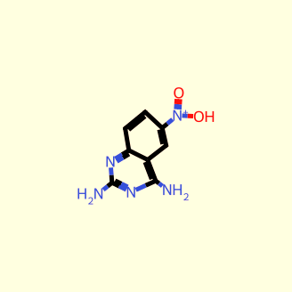 Nc1nc(N)c2cc([N+](=O)O)ccc2n1